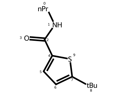 CCCNC(=O)c1ccc(C(C)(C)C)s1